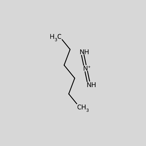 CCCCCC.N=[N+]=N